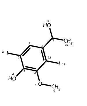 COc1c(O)c(I)cc(C(C)O)c1I